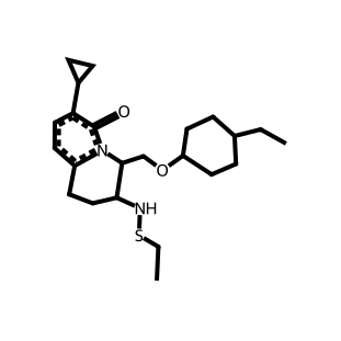 CCSNC1CCc2ccc(C3CC3)c(=O)n2C1COC1CCC(CC)CC1